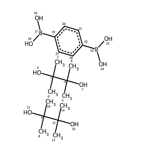 CC(C)(O)C(C)(C)O.CC(C)(O)C(C)(C)O.OB(O)c1ccc(B(O)O)cc1